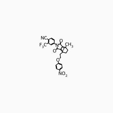 CC12CCC(CCOc3ccc([N+](=O)[O-])cc3)(O1)C1C(=O)N(c3ccc(C#N)c(C(F)(F)F)c3)C(=O)C12